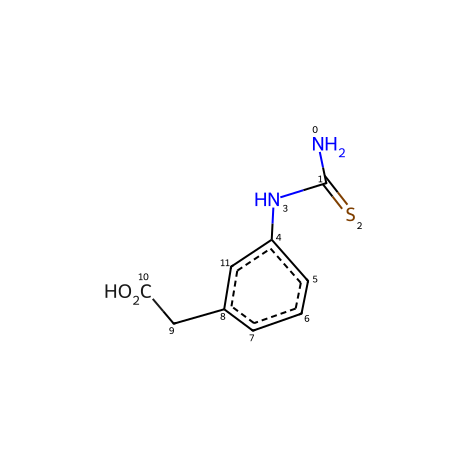 NC(=S)Nc1cccc(CC(=O)O)c1